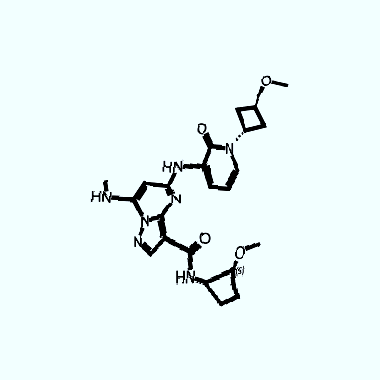 CNc1cc(Nc2cccn([C@H]3C[C@H](OC)C3)c2=O)nc2c(C(=O)NC3CC[C@@H]3OC)cnn12